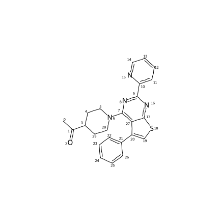 CC(=O)C1CCN(c2nc(-c3ccccn3)nc3scc(-c4ccccc4)c23)CC1